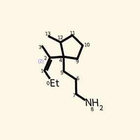 CC/C=C(/C)C1(CCCN)CCCC1C